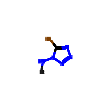 CCNn1nnnc1S